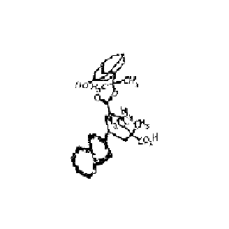 CC(CC(CC(C)(C)C(=O)O)c1ccc2ccccc2c1)C(=O)OC(C)(C)C12CC3CC(CC(O)(C3)C1)C2